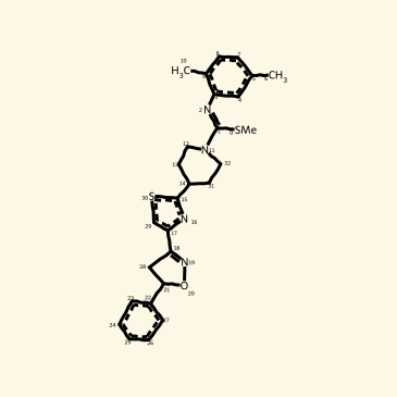 CS/C(=N\c1cc(C)ccc1C)N1CCC(c2nc(C3=NOC(c4ccccc4)C3)cs2)CC1